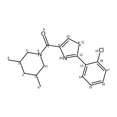 CC1CC(C)CN(C(=O)c2csc(-c3ccccc3Cl)n2)C1